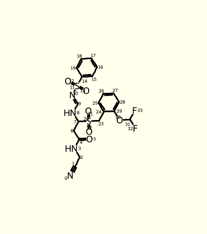 N#CCNC(=O)CC(NC=NS(=O)(=O)c1ccccc1)S(=O)(=O)Cc1ccccc1OC(F)F